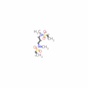 C=CS(=O)(=O)N(C)CCCN(C)S(=O)(=O)C=C